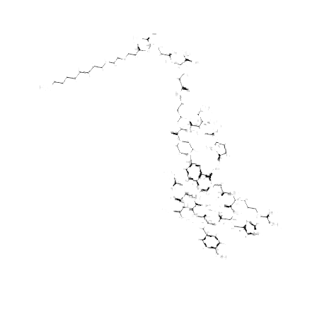 CCCCCCCCCCCCCCCC(=O)N[C@@H](CCC(=O)N[C@@H](CCC(=O)NCCCC[C@H](NC(=O)[C@@H](NC(=O)[C@@H]1CCC(=O)N1)[C@@H](C)CC)C(=O)N1CCN(c2ccc3ncn(CC(=O)N[C@@H](CCCNC(=N)N)C(=O)N[C@@H](Cc4c[nH]cn4)C(=O)N[C@@H](Cc4ccc(O)cc4)C(=O)N[C@@H](CC(C)C)C(=O)N[C@@H](CC(N)=O)C(C)=O)c(=O)c3c2)CC1)C(=O)O)C(=O)O